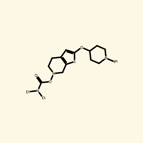 CCN(CC)C(=O)ON1CCc2cc(OC3CCN(C(C)C)CC3)sc2C1